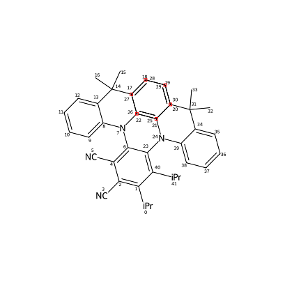 CC(C)c1c(C#N)c(C#N)c(N2c3ccccc3C(C)(C)c3ccccc32)c(N2c3ccccc3C(C)(C)c3ccccc32)c1C(C)C